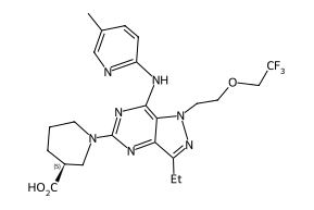 CCc1nn(CCOCC(F)(F)F)c2c(Nc3ccc(C)cn3)nc(N3CCC[C@H](C(=O)O)C3)nc12